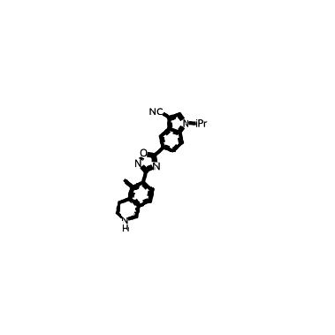 Cc1c(-c2noc(-c3ccc4c(c3)c(C#N)cn4C(C)C)n2)ccc2c1CCNC2